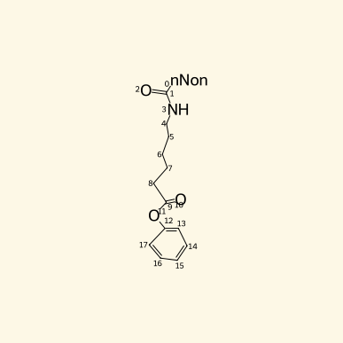 CCCCCCCCCC(=O)NCCCCCC(=O)Oc1ccccc1